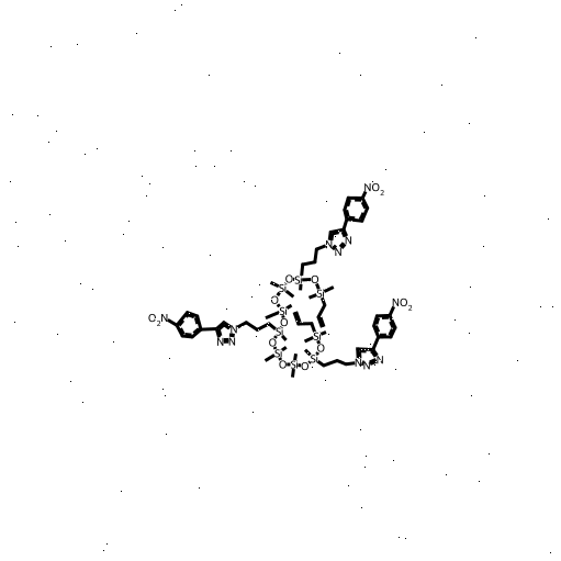 C=CC[Si](C)(C)O[Si](C)(CCCn1cc(-c2ccc([N+](=O)[O-])cc2)nn1)O[Si](C)(C)O[Si](C)(C)O[Si](C)(CCCn1cc(-c2ccc([N+](=O)[O-])cc2)nn1)O[Si](C)(C)O[Si](C)(C)O[Si](C)(CCCn1cc(-c2ccc([N+](=O)[O-])cc2)nn1)O[Si](C)(C)CC=C